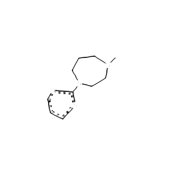 CC(C)(C)N1CCCN(c2ncccn2)CC1